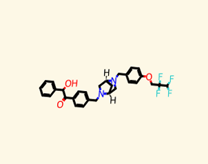 O=C(c1ccc(CN2C[C@@H]3C[C@H]2CN3Cc2ccc(OCC(F)(F)C(F)F)cc2)cc1)C(O)c1ccccc1